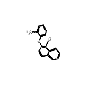 Cc1ccccc1Oc1ccc2ccccc2c1Cl